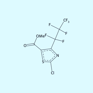 COC(=O)c1sc(Cl)nc1C(F)(F)C(F)(F)C(F)(F)F